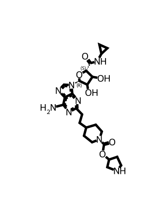 Nc1nc(CCC2CCN(C(=O)OC3CCNC3)CC2)nc2c1ncn2[C@@H]1O[C@H](C(=O)NC2CC2)C(O)C1O